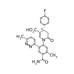 Cc1ccc(-c2cc(C(N)=O)c(C)cc2N2C=C(C(=O)O)[C@H](c3ccc(F)cc3)CC2=O)nn1